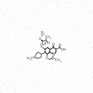 CC(O)C(=O)O.C[C@H]1COc2c(N3CCN(C)CC3)c(F)cc3c(=O)c(C(=O)O)cn1c23.O